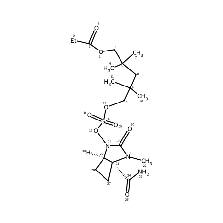 CCC(=O)OCC(C)(C)CC(C)(C)COS(=O)(=O)ON1C(=O)N(C)[C@@]2(C(N)=O)CC[C@@H]12